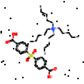 CCCCC[N+](CCCCC)(CCCCC)CCCCC.O=C(O)c1ccc(S(=O)(=O)c2ccc(C(=O)O)cc2)cc1